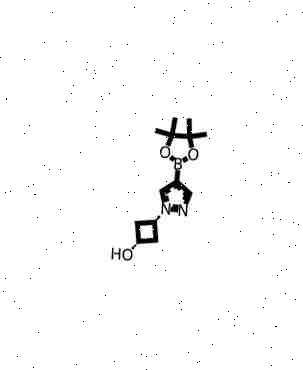 CC1(C)OB(c2cnn([C@H]3C[C@@H](O)C3)c2)OC1(C)C